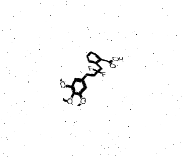 COc1cc(/C=C/C(F)(F)Cc2ccccc2C(=O)O)cc(OC)c1OC